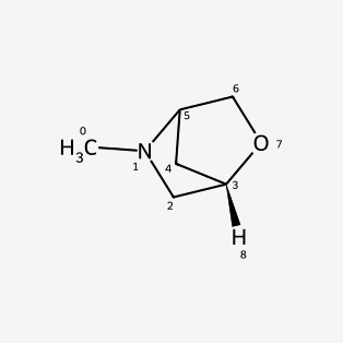 CN1C[C@@H]2CC1CO2